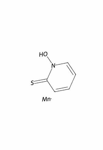 On1ccccc1=S.[Mn]